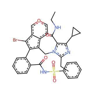 CCNC(=O)c1c(C2CC2)nc(CC)n1Cc1c2ccocc-2c(Br)c1-c1ccccc1C(=O)NS(=O)(=O)c1ccccc1